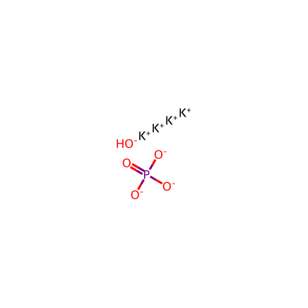 O=P([O-])([O-])[O-].[K+].[K+].[K+].[K+].[OH-]